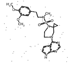 COc1ccc(CCN(C)S(=O)(=O)N2CCN(c3ncnc4[nH]ccc34)CC23CC3)cc1OC